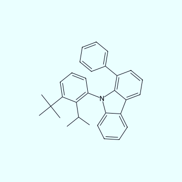 CC(C)c1c(-n2c3ccccc3c3cccc(-c4ccccc4)c32)cccc1C(C)(C)C